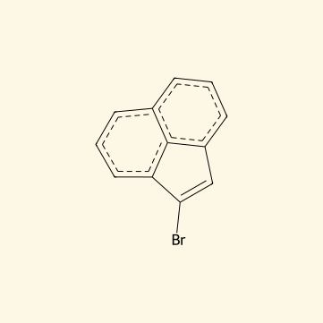 BrC1=Cc2cccc3cccc1c23